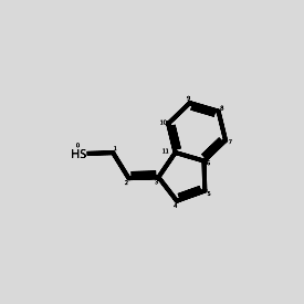 SC/C=C1/C=Cc2ccccc21